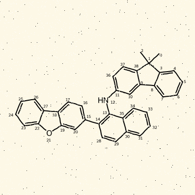 CC1(C)c2ccccc2-c2cc(Nc3c(-c4ccc5c(c4)oc4ccccc45)ccc4ccccc34)ccc21